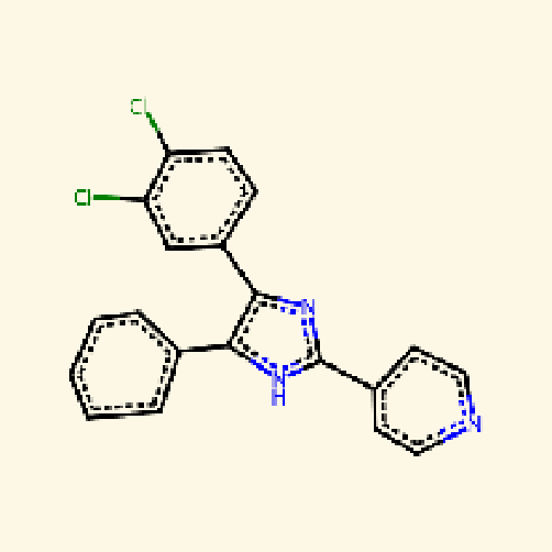 Clc1ccc(-c2nc(-c3ccncc3)[nH]c2-c2ccccc2)cc1Cl